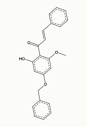 COc1cc(OCc2ccccc2)cc(O)c1C(=O)C=Cc1ccccc1